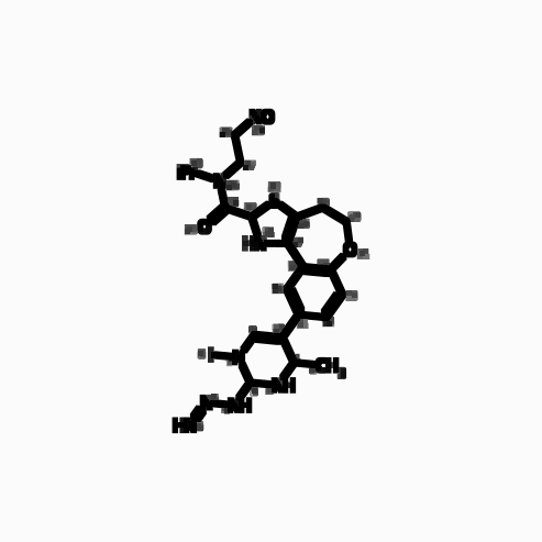 CC1NC(NN=N)N(I)C=C1c1ccc2c(c1)C1=C(CCO2)SC(C(=O)N(CCN=O)C(C)C)N1